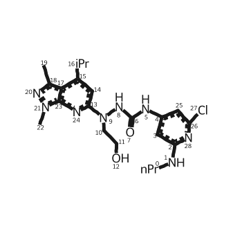 CCCNc1cc(NC(=O)NN(CCO)c2cc(C(C)C)c3c(C)nn(C)c3n2)cc(Cl)n1